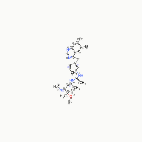 C=C(NC/C=C(\C=C/C)Cc1ncnc2cc(CC)c(CC)cc12)N/C(C)=C/C(=N\C)C(C)(C)OCC